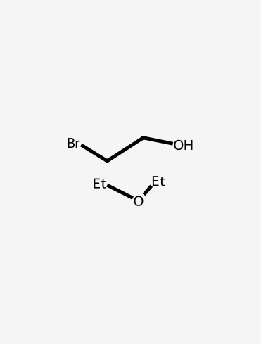 CCOCC.OCCBr